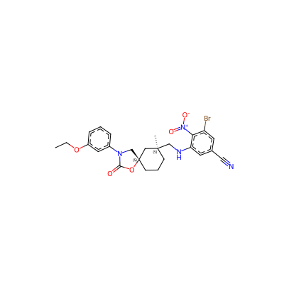 CCOc1cccc(N2C[C@@]3(CCC[C@](C)(CNc4cc(C#N)cc(Br)c4[N+](=O)[O-])C3)OC2=O)c1